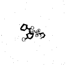 O=C(c1ccccc1)c1cc(Cl)ccc1NS(=O)(=O)C1=CCCS1